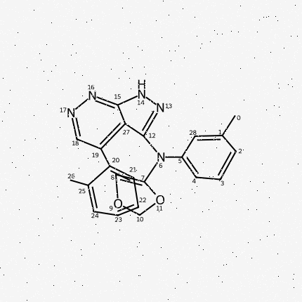 Cc1cccc(N(C2=COCO2)c2n[nH]c3nncc(-c4ccccc4C)c23)c1